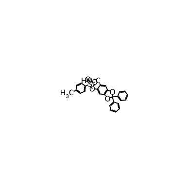 Cc1ccc(S(=O)(=O)Oc2cc3c(cc2C(=O)O)OC(c2ccccc2)(c2ccccc2)O3)cc1